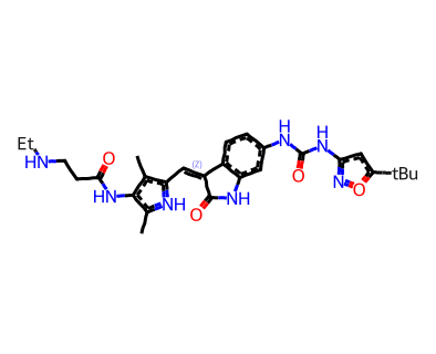 CCNCCC(=O)Nc1c(C)[nH]c(/C=C2\C(=O)Nc3cc(NC(=O)Nc4cc(C(C)(C)C)on4)ccc32)c1C